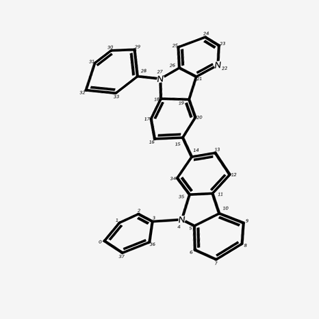 c1ccc(-n2c3ccccc3c3ccc(-c4ccc5c(c4)c4ncccc4n5-c4ccccc4)cc32)cc1